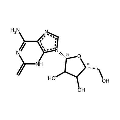 C=C1N=C(N)c2ncn([C@@H]3O[C@H](CO)C(O)C3O)c2N1